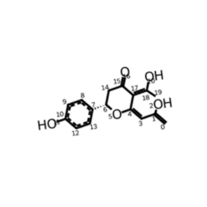 C=C(O)/C=C1/O[C@H](c2ccc(O)cc2)CC(=O)/C1=C(/C)O